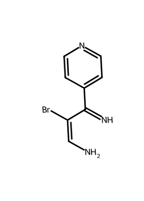 N=C(/C(Br)=C\N)c1ccncc1